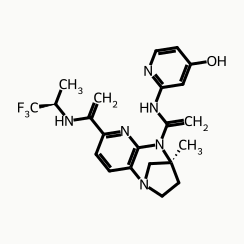 C=C(N[C@H](C)C(F)(F)F)c1ccc2c(n1)N(C(=C)Nc1cc(O)ccn1)[C@@]1(C)CCN2C1